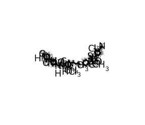 C[C@@H]1CN(CCCO[C@H]2CC[C@H](N3C(=S)N(c4ccc(C#N)c(Cl)c4)C(=O)C3(C)C)CC2)C[C@H](C)N1CC(=O)Nc1ccc(C2CCC(=O)NC2=O)nc1.Cl